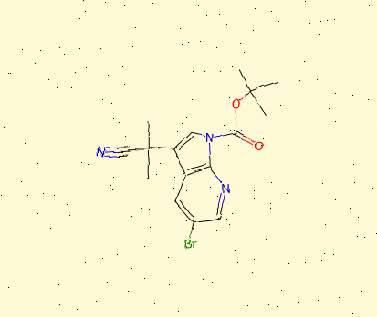 CC(C)(C)OC(=O)n1cc(C(C)(C)C#N)c2cc(Br)cnc21